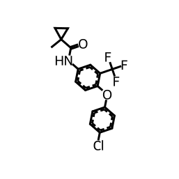 CC1(C(=O)Nc2ccc(Oc3ccc(Cl)cc3)c(C(F)(F)F)c2)CC1